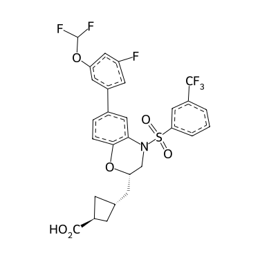 O=C(O)[C@H]1C[C@H](C[C@H]2CN(S(=O)(=O)c3cccc(C(F)(F)F)c3)c3cc(-c4cc(F)cc(OC(F)F)c4)ccc3O2)C1